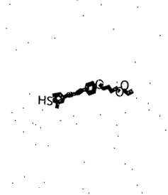 C=CC(=O)OCCCCOc1ccc(C#CC#Cc2ccc(S)c(C)c2)cc1